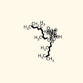 CC(C)=CCCC(C)=CCCC(C)=CCOP(=O)(OC/C=C(\C)CCC=C(C)C)OP(=O)(O)OP(=O)(O)OP(=O)(O)O